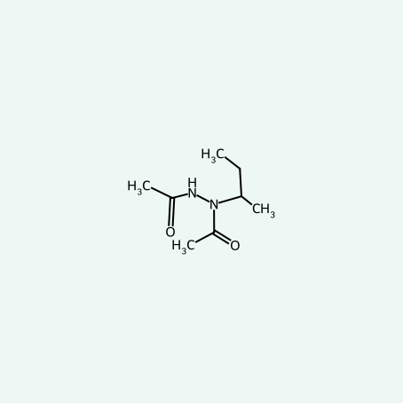 CCC(C)N(NC(C)=O)C(C)=O